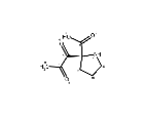 CC(=O)C(=O)[C@]1(C(=O)O)CCCN1